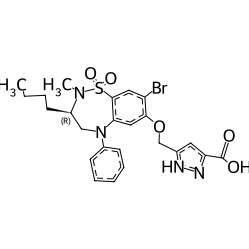 CCCC[C@@H]1CN(c2ccccc2)c2cc(OCc3cc(C(=O)O)n[nH]3)c(Br)cc2S(=O)(=O)N1C